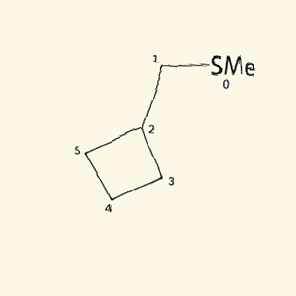 CSCC1CCC1